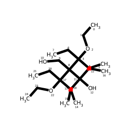 CCOC(CC)(CC)C(CO)(C(O)(CC)CC)C(CC)(CC)OCC